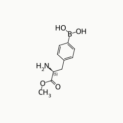 COC(=O)[C@@H](N)Cc1ccc(B(O)O)cc1